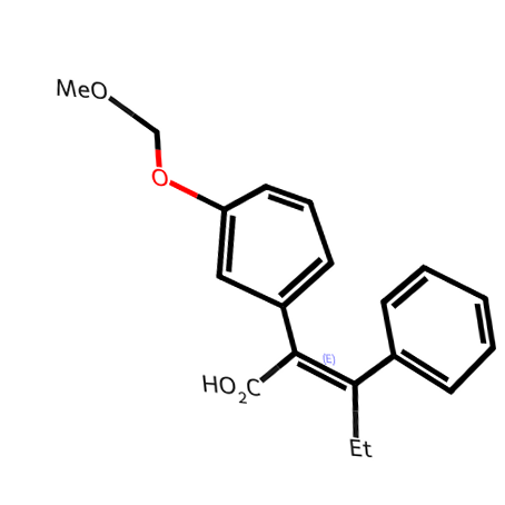 CC/C(=C(\C(=O)O)c1cccc(OCOC)c1)c1ccccc1